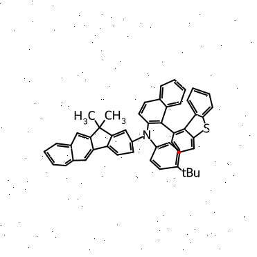 CC(C)(C)c1ccc(N(c2ccc3c(c2)C(C)(C)c2cc4ccccc4cc2-3)c2ccc3ccccc3c2-c2cccc3sc4ccccc4c23)cc1